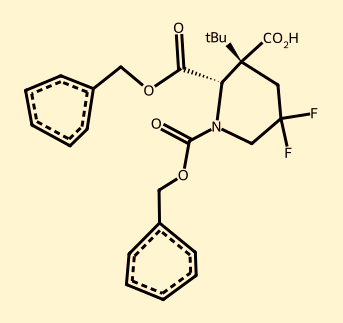 CC(C)(C)[C@@]1(C(=O)O)CC(F)(F)CN(C(=O)OCc2ccccc2)[C@@H]1C(=O)OCc1ccccc1